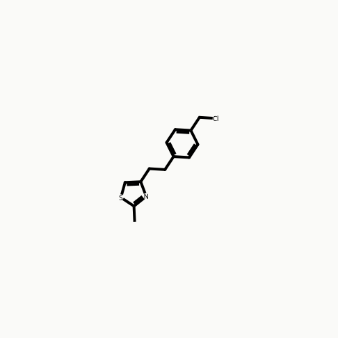 Cc1nc(CCc2ccc(CCl)cc2)cs1